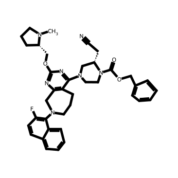 CN1CCC[C@H]1COc1nc2c(c(N3CCN(C(=O)OCc4ccccc4)[C@@H](CC#N)C3)n1)CCCN(c1c(F)ccc3ccccc13)C2